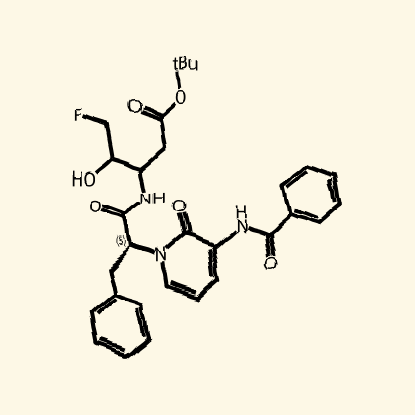 CC(C)(C)OC(=O)CC(NC(=O)[C@H](Cc1ccccc1)n1cccc(NC(=O)c2ccccc2)c1=O)C(O)CF